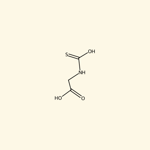 O=C(O)CNC(O)=S